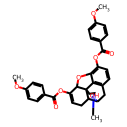 COc1ccc(C(=O)OC2=CC[C@@]3(O)C4Cc5ccc(OC(=O)c6ccc(OC)cc6)c6c5C3(CCN4C)C2O6)cc1